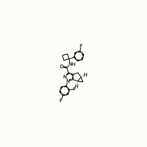 O=C(NC1(c2cccc(F)c2)CCC1)c1nn(-c2ccc(F)cc2F)c2c1C[C@H]1C[C@@H]21